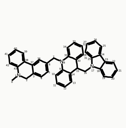 CN1Cc2ccc(CN3c4ccccc4C(Cn4c5ccccc5c5ccccc54)c4ccccc43)cc2-c2ccccc21